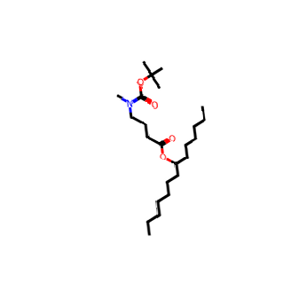 CCCCCCCC(CCCCCC)OC(=O)CCCN(C)C(=O)OC(C)(C)C